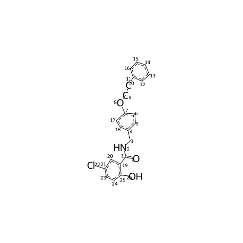 O=C(NCc1ccc(OCCc2ccccc2)cc1)c1cc(Cl)ccc1O